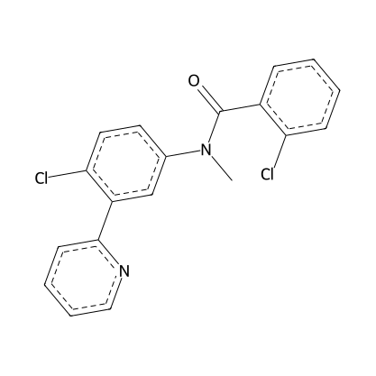 CN(C(=O)c1ccccc1Cl)c1ccc(Cl)c(-c2ccccn2)c1